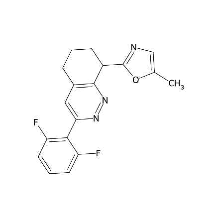 Cc1cnc(C2CCCc3cc(-c4c(F)cccc4F)nnc32)o1